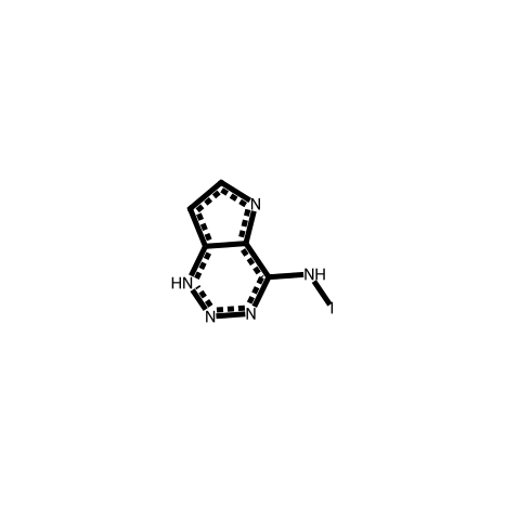 INc1nn[nH]c2ccnc1-2